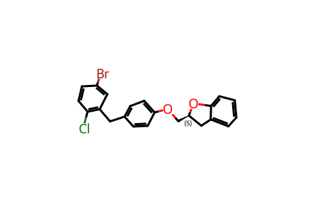 Clc1ccc(Br)cc1Cc1ccc(OC[C@@H]2Cc3ccccc3O2)cc1